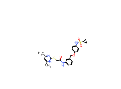 Cc1cc(C)nc(SCC(=O)Nc2cccc(COc3ccc(NS(=O)(=O)C4CC4)cc3)c2)n1